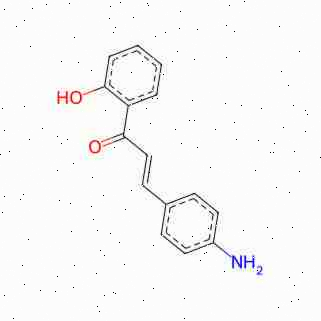 Nc1ccc(C=CC(=O)c2ccccc2O)cc1